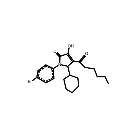 CCCCCC(=O)C1=C(O)C(=O)N(c2ccc(Br)cc2)C1C1CCCCC1